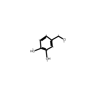 Oc1ccc(CCl)cc1O